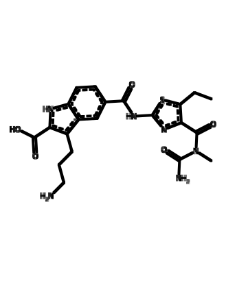 CCc1sc(NC(=O)c2ccc3[nH]c(C(=O)O)c(CCCN)c3c2)nc1C(=O)N(C)C(N)=O